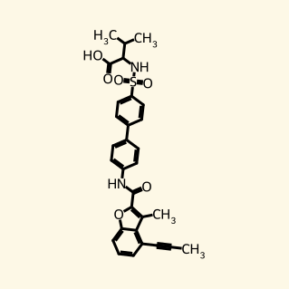 CC#Cc1cccc2oc(C(=O)Nc3ccc(-c4ccc(S(=O)(=O)NC(C(=O)O)C(C)C)cc4)cc3)c(C)c12